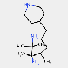 CC(CCCC1CCNCC1)C(C)(N)C(C)(C)N